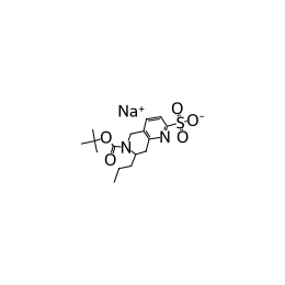 CCCC1Cc2nc(S(=O)(=O)[O-])ccc2CN1C(=O)OC(C)(C)C.[Na+]